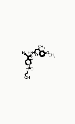 COc1cccc([C@@H](C)CC(=O)Nc2sc3c(c2C#N)CCN(C(=O)OCCO)C3)c1